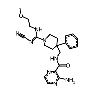 COCCN/C(=N\C#N)N1CCC(CNC(=O)c2nccnc2N)(c2ccccc2)CC1